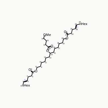 CCCCCC/C=C/CCC(=O)OCCCCCCC(CCCCCCOC(=O)CC/C=C/CCCCCC)OC(=O)CCCOC